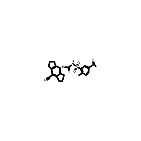 CC(=O)c1ccc(F)c(S(=O)(=O)NC(=O)Nc2c3c(c(C#N)c4c2CCC4)CCC3)c1